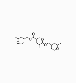 CC1CC(COC(=O)C(C)CC(C)C(=O)OCC2CCOC(C)C2)CCO1